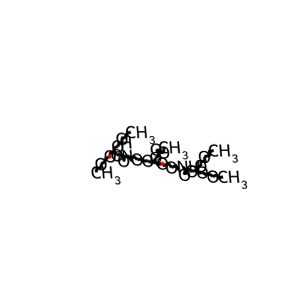 CCCOCCOCC(COCCOCCC)OCC(=O)NCCOCCOCC(COCCOCCNC(=O)COC(COCCOCCC)COCCOCCC)OCC(=O)OC